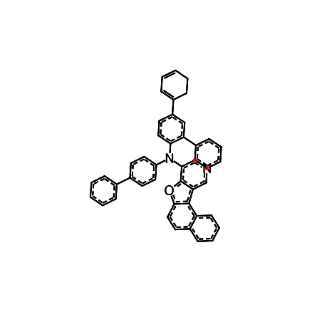 C1=CCCC(c2ccc(N(c3ccc(-c4ccccc4)cc3)c3cncc4c3oc3ccc5ccccc5c34)c(-c3ccccc3)c2)=C1